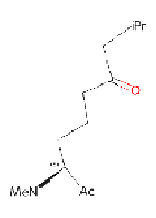 CN[C@@H](CCCC(=O)CC(C)C)C(C)=O